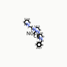 N#CC(C#N)=C1N(CCCN2CCCCC2)CCCN1C1CCN(Cc2ccccc2)CC1